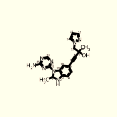 CC1Nc2ccc(C#CC(C)(O)Cn3cccn3)cc2N1c1ncnc(N)n1